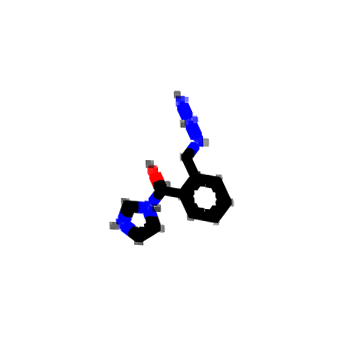 [N-]=[N+]=NCc1ccccc1C(=O)n1ccnc1